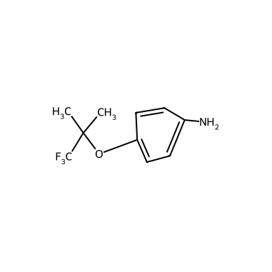 CC(C)(Oc1ccc(N)cc1)C(F)(F)F